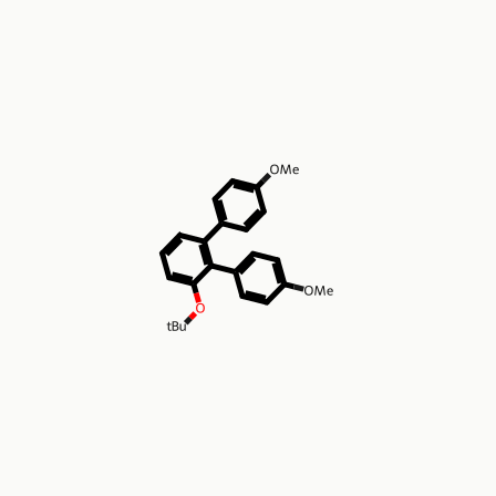 COc1ccc(-c2[c]ccc(OC(C)(C)C)c2-c2ccc(OC)cc2)cc1